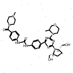 CC1COCCN1c1nc(-c2ccc(NC(=O)Nc3ccc(C(=O)N4CCN(C)CC4)cc3)cc2)nc(N2[C@H](CO)CC[C@@H]2CO)n1